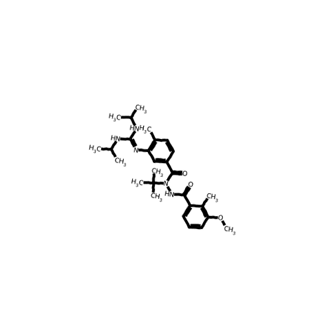 COc1cccc(C(=O)NN(C(=O)c2ccc(C)c(N=C(NC(C)C)NC(C)C)c2)C(C)(C)C)c1C